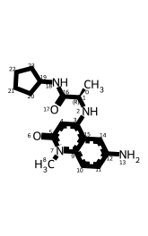 C[C@@H](Nc1cc(=O)n(C)c2ccc(N)cc12)C(=O)NC1CCCC1